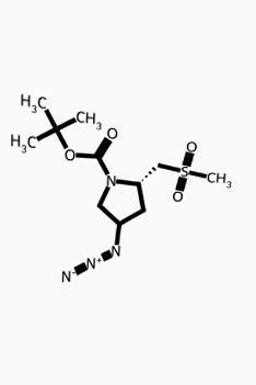 CC(C)(C)OC(=O)N1CC(N=[N+]=[N-])C[C@H]1CS(C)(=O)=O